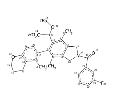 Cc1c(-c2c(C)c3c(c(C)c2C(OC(C)(C)C)C(=O)O)CN(C(=O)c2cccc(F)c2)C3)ccc2c1CCCO2